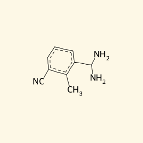 Cc1c(C#N)cccc1C(N)N